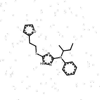 CCC(C)N(c1ccccc1)c1n[nH]c(SCCc2ccco2)n1